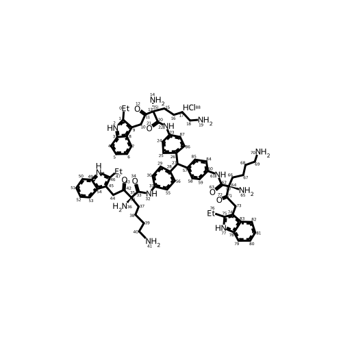 CCc1[nH]c2ccccc2c1CC(=O)[C@@](N)(CCCCN)C(=O)Nc1ccc(C(c2ccc(NC(=O)[C@](N)(CCCCN)C(=O)Cc3c(CC)[nH]c4ccccc34)cc2)c2ccc(NC(=O)[C@](N)(CCCCN)C(=O)Cc3c(CC)[nH]c4ccccc34)cc2)cc1.Cl